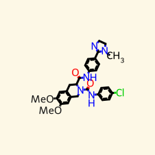 COc1cc2c(cc1OC)CN(C(=O)Nc1ccc(Cl)cc1)C(C(=O)Nc1ccc(C3=NCCN3C)cc1)C2